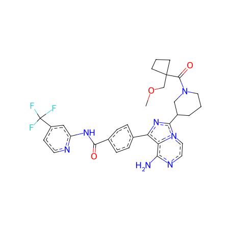 COCC1(C(=O)N2CCCC(c3nc(-c4ccc(C(=O)Nc5cc(C(F)(F)F)ccn5)cc4)c4c(N)nccn34)C2)CCC1